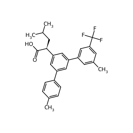 Cc1ccc(-c2cc(-c3cc(C)cc(C(F)(F)F)c3)cc([C@H](CC(C)C)C(=O)O)c2)cc1